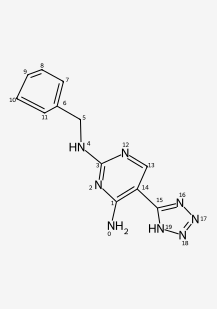 Nc1nc(NCc2ccccc2)ncc1-c1nnn[nH]1